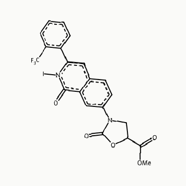 COC(=O)C1CN(c2ccc3cc(-c4ccccc4C(F)(F)F)n(I)c(=O)c3c2)C(=O)O1